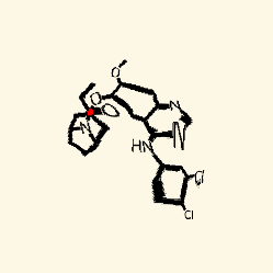 C=CC(=O)N1C2CCC1CC(Oc1cc3c(Nc4ccc(Cl)c(Cl)c4)ncnc3cc1OC)C2